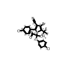 CC(Oc1ccc(Cl)cc1)(C(=O)O)n1c(-c2ccc(Cl)cc2)c(C#N)c(Br)c1C(F)(F)F